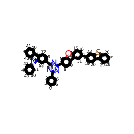 c1ccc(-c2nc(-c3ccc4c(c3)oc3ccc(-c5ccc6c(c5)sc5ccccc56)cc34)nc(-c3ccc4c5ccccc5n(-c5ccccc5)c4c3)n2)cc1